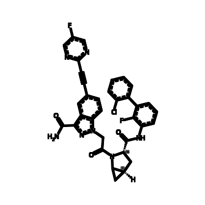 NC(=O)c1nn(CC(=O)N2C3C[C@@H]3C[C@H]2C(=O)Nc2cccc(-c3ccccc3Cl)c2F)c2ccc(C#Cc3ncc(F)cn3)cc12